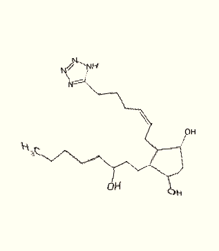 CCCCCC(O)CCC1C(O)CC(O)C1C/C=C\CCCc1nnn[nH]1